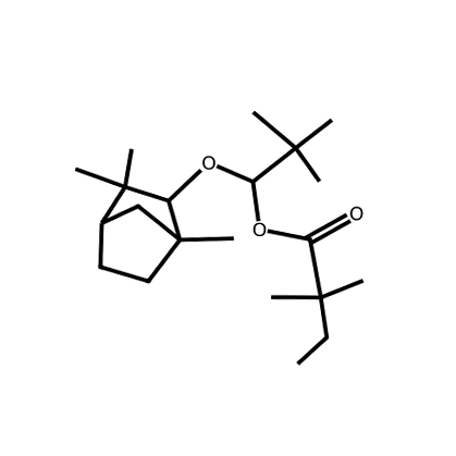 CCC(C)(C)C(=O)OC(OC1C2(C)CCC(C2)C1(C)C)C(C)(C)C